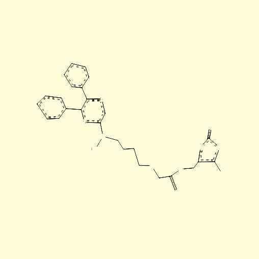 Cc1oc(=O)oc1COC(=O)COCCCCN(c1cnc(-c2ccccc2)c(-c2ccccc2)n1)C(C)C